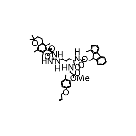 C=CCOc1ccc(C[C@H](NC(=O)[C@@H](CCCNC(=N)NS(=O)(=O)c2c(C)c(C)c3c(c2C)CCC(C)(C)O3)NC(=O)OCC2c3ccccc3-c3cccc(C)c32)C(=O)OC)cc1